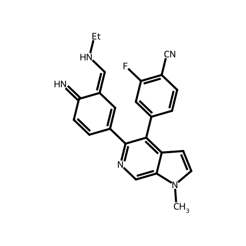 CCN/C=C1/C=C(c2ncc3c(ccn3C)c2-c2ccc(C#N)c(F)c2)C=CC1=N